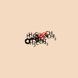 C[Si](C)(C)O[SiH2]O[Si](C)(O[Si](C)(C)C)[Si](C)(C)C=Cc1ccccc1